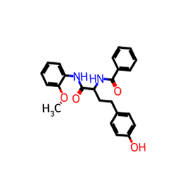 COc1ccccc1NC(=O)C(CCc1ccc(O)cc1)NC(=O)c1ccccc1